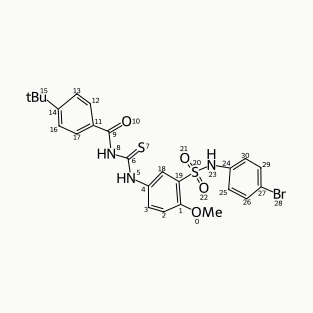 COc1ccc(NC(=S)NC(=O)c2ccc(C(C)(C)C)cc2)cc1S(=O)(=O)Nc1ccc(Br)cc1